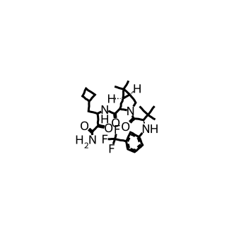 CC(C)(C)[C@H](Nc1cccc(C(F)(F)F)c1)C(=O)N1C[C@H]2[C@@H](C1C(=O)NC(CC1CCC1)C(=O)C(N)=O)C2(C)C